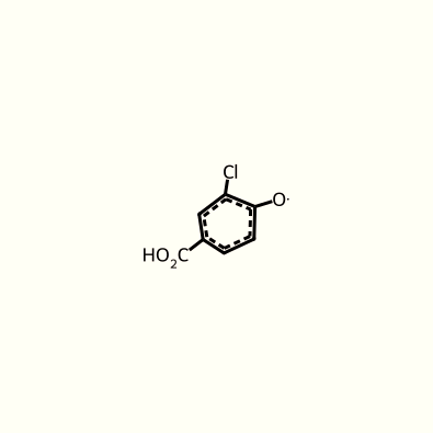 [O]c1ccc(C(=O)O)cc1Cl